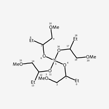 CCC(COC)[O][Ti]([O]C(CC)COC)([O]C(CC)COC)[O]C(CC)COC